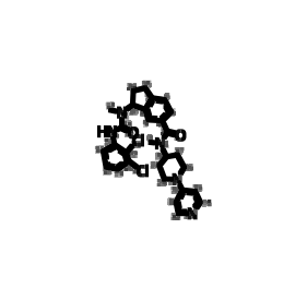 CN(C(=O)c1ccc2c(c1)C(N(C)C(=O)Nc1cccc(Cl)c1Cl)CC2)C1CCN(c2ccncc2)CC1